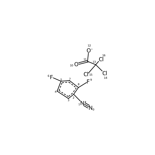 N#[N+]c1ccc(F)cc1F.O=C([O-])C(Cl)(Cl)Cl